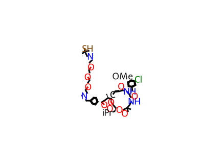 COc1ccc(C[C@H]2NC(=O)/C=C/C[C@@H]([C@H](C)[C@H]3O[C@@H]3c3ccc(CN(C)CCOCCOCCOCCN(C)CC(C)(C)S)cc3)OC(=O)[C@H](CC(C)C)OC(=O)C(C)(C)CNC2=O)cc1Cl